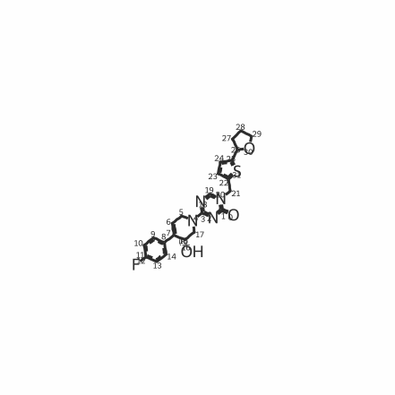 O=c1nc(N2CC=C(c3ccc(F)cc3)[C@@H](O)C2)ncn1Cc1ccc(C2CCCO2)s1